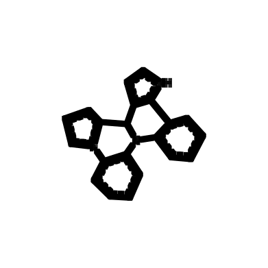 c1ccc2c(c1)-c1[nH]ccc1C1c3cccn3-c3ccccc3N21